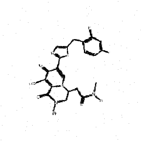 CCN(C)C(=O)CC1CN(C(C)C)C(=O)c2c(O)c(=O)c(-c3ncc(Cc4ccc(F)cc4F)s3)cn21